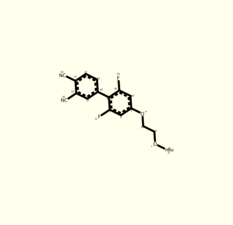 CCCCOCCOc1cc(F)c(-c2ccc(C#N)c(C#N)c2)c(F)c1